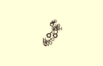 CC1(C)C2CC[C@]1(CS(=O)(=O)NC(Cc1ccc(OCC(=O)Nc3ncc[nH]3)cc1)C(=O)OCc1ccccc1)C(=O)C2